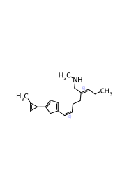 CC/C=C(\CC/C=C\C1=CC=C(C2C=C2C)C1)CNC